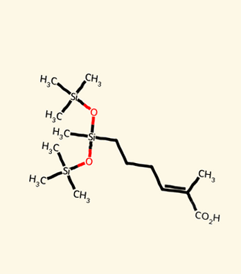 CC(=CCCC[Si](C)(O[Si](C)(C)C)O[Si](C)(C)C)C(=O)O